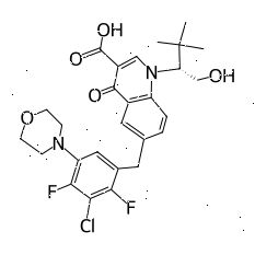 CC(C)(C)[C@H](CO)n1cc(C(=O)O)c(=O)c2cc(Cc3cc(N4CCOCC4)c(F)c(Cl)c3F)ccc21